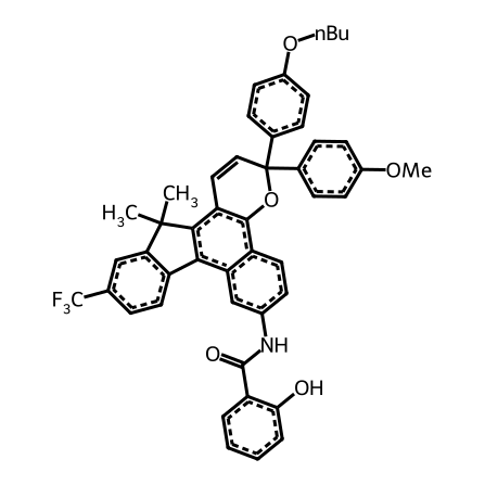 CCCCOc1ccc(C2(c3ccc(OC)cc3)C=Cc3c4c(c5cc(NC(=O)c6ccccc6O)ccc5c3O2)-c2ccc(C(F)(F)F)cc2C4(C)C)cc1